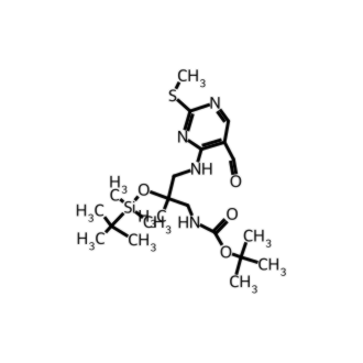 CSc1ncc(C=O)c(NCC(C)(CNC(=O)OC(C)(C)C)O[Si](C)(C)C(C)(C)C)n1